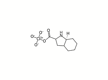 O=C(O[Cl+3]([O-])([O-])[O-])C1CC2CCCC[C@@H]2N1